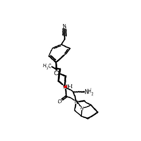 CCCNC(=O)N1CC2CCC(C1)N2CC(N)CCOc1ccc(C#N)cc1